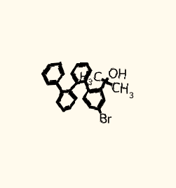 CC(C)(O)c1cc(Br)ccc1-c1ccccc1-c1ccccc1-c1ccccc1